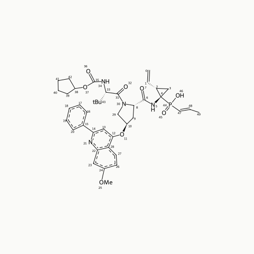 C=C[C@@H]1C[C@]1(NC(=O)[C@@H]1C[C@@H](Oc2cc(-c3ccccc3)nc3cc(OC)ccc23)CN1C(=O)[C@@H](NC(=O)OC1CCCC1)C(C)(C)C)P(=O)(O)/C=C/C